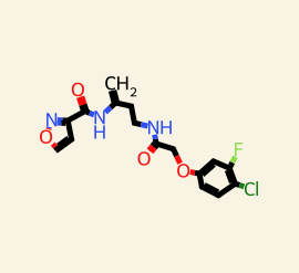 C=C(CCNC(=O)COc1ccc(Cl)c(F)c1)NC(=O)c1ccon1